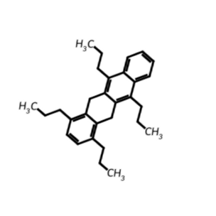 CCCc1ccc(CCC)c2c1Cc1c(c(CCC)c3ccccc3c1CCC)C2